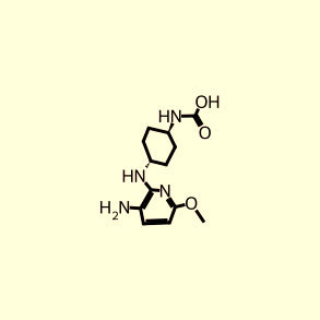 COc1ccc(N)c(N[C@H]2CC[C@H](NC(=O)O)CC2)n1